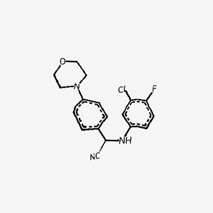 N#CC(Nc1ccc(F)c(Cl)c1)c1ccc(N2CCOCC2)cc1